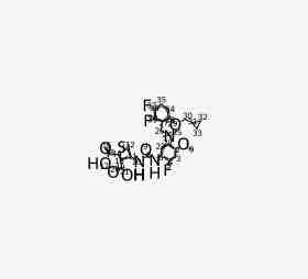 COc1cc(F)c(NC(=O)Nc2csc(C(=O)O)c2C(=O)O)cc1N(C)Cc1c(OCC2CC2)ccc(F)c1F